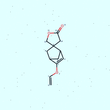 C=COC1=CC2CC1CC21COC(=O)C1